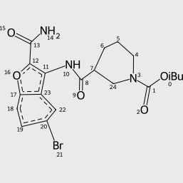 CC(C)COC(=O)N1CCCC(C(=O)Nc2c(C(N)=O)oc3ccc(Br)cc23)C1